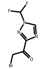 O=C(CBr)c1ncn(C(F)F)n1